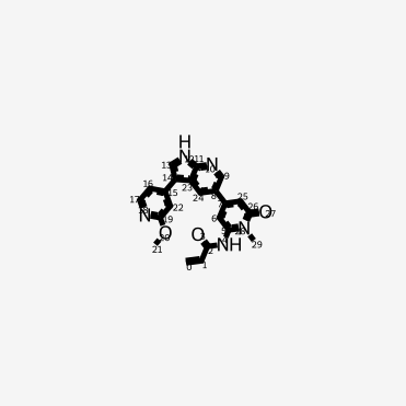 C=CC(=O)Nc1cc(-c2cnc3[nH]cc(-c4ccnc(OC)c4)c3c2)cc(=O)n1C